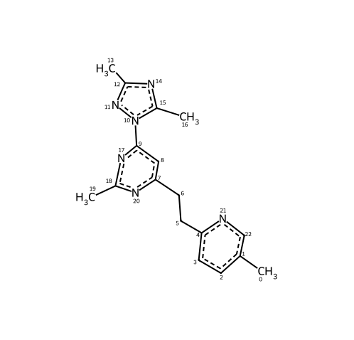 Cc1ccc(CCc2cc(-n3nc(C)nc3C)nc(C)n2)nc1